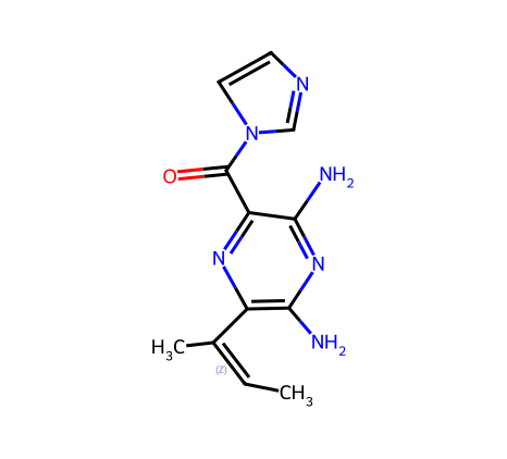 C/C=C(/C)c1nc(C(=O)n2ccnc2)c(N)nc1N